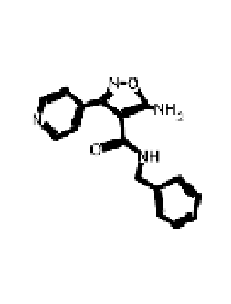 Nc1onc(-c2ccncc2)c1C(=O)NCc1ccccc1